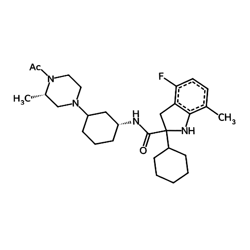 CC(=O)N1CCN(C2CCC[C@@H](NC(=O)C3(C4CCCCC4)Cc4c(F)ccc(C)c4N3)C2)C[C@@H]1C